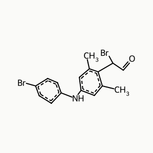 Cc1cc(Nc2ccc(Br)cc2)cc(C)c1C(Br)C=O